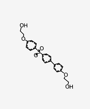 O=S(=O)(c1ccc(OCCO)cc1)c1ccc(-c2ccc(OCCO)cc2)cc1